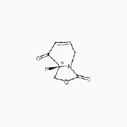 O=C1C=CCN2C(=O)OC[C@H]12